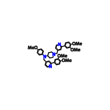 COc1ccc(N(Cc2ccnc(-c3ccc(OC)c(OC)c3)c2)C2CCN(Cc3ccnc(-c4ccc(OC)c(OC)c4)c3)CC2)cc1